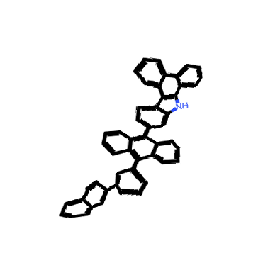 c1cc(-c2ccc3ccccc3c2)cc(-c2c3ccccc3c(-c3ccc4c(c3)[nH]c3c5ccccc5c5ccccc5c43)c3ccccc23)c1